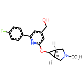 O=C(O)N1C[C@@H]2C(Oc3cc(CO)cc(-c4ccc(F)cc4)n3)[C@@H]2C1